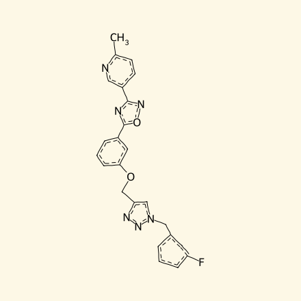 Cc1ccc(-c2noc(-c3cccc(OCc4cn(Cc5cccc(F)c5)nn4)c3)n2)cn1